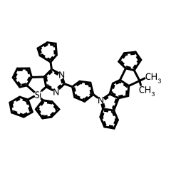 CC1(C)c2ccccc2-c2cc3c(cc21)c1ccccc1n3-c1ccc(-c2nc(-c3ccccc3)c3c(n2)[Si](c2ccccc2)(c2ccccc2)c2ccccc2-3)cc1